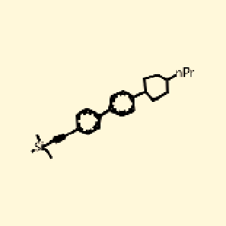 CCCC1CCC(c2ccc(-c3ccc(C#C[Si](C)(C)C)cc3)cc2)CC1